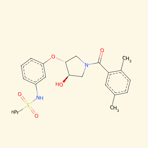 CCCS(=O)(=O)Nc1cccc(O[C@@H]2CN(C(=O)c3cc(C)ccc3C)C[C@H]2O)c1